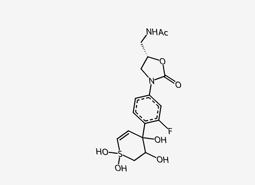 CC(=O)NC[C@H]1CN(c2ccc(C3(O)C=CS(O)(O)CC3O)c(F)c2)C(=O)O1